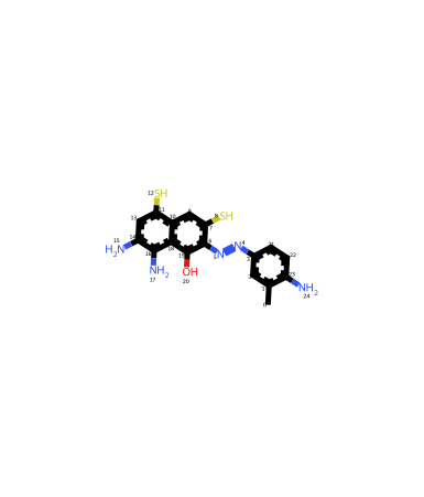 Cc1cc(/N=N/c2c(S)cc3c(S)cc(N)c(N)c3c2O)ccc1N